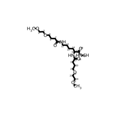 COCCOCCCC(=O)NCCCCC(NC(=O)CCCOCCOC)C(=O)NS